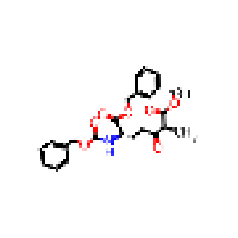 CC(C(=O)CC[C@H](NC(=O)OCc1ccccc1)C(=O)OCc1ccccc1)C(=O)OC(C)(C)C